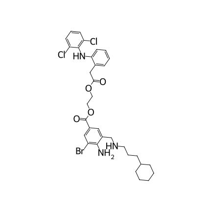 Nc1c(Br)cc(C(=O)OCCOC(=O)Cc2ccccc2Nc2c(Cl)cccc2Cl)cc1CNCCCC1CCCCC1